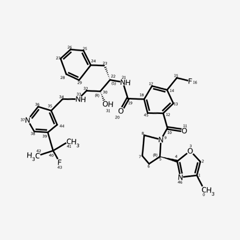 Cc1coc([C@H]2CCCN2C(=O)c2cc(CF)cc(C(=O)N[C@@H](Cc3ccccc3)[C@H](O)CNCc3cncc(C(C)(C)F)c3)c2)n1